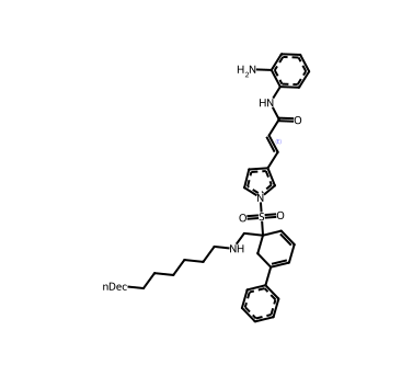 CCCCCCCCCCCCCCCCNCC1(S(=O)(=O)n2ccc(/C=C/C(=O)Nc3ccccc3N)c2)C=CC=C(c2ccccc2)C1